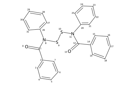 O=C(c1ccccc1)N(SSN(C(=O)c1ccccc1)c1ccccc1)c1ccccc1